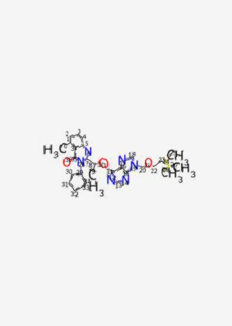 Cc1cccc2nc(C(C)Oc3ncnc4c3ncn4COCCS(C)(C)C)n(-c3ccccc3)c(=O)c12